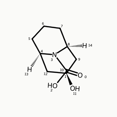 O=C(O)N1[C@@H]2CCC[C@H]1C[C@@H](O)C2